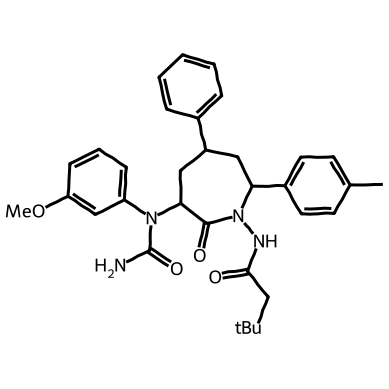 COc1cccc(N(C(N)=O)C2CC(c3ccccc3)CC(c3ccc(C)cc3)N(NC(=O)CC(C)(C)C)C2=O)c1